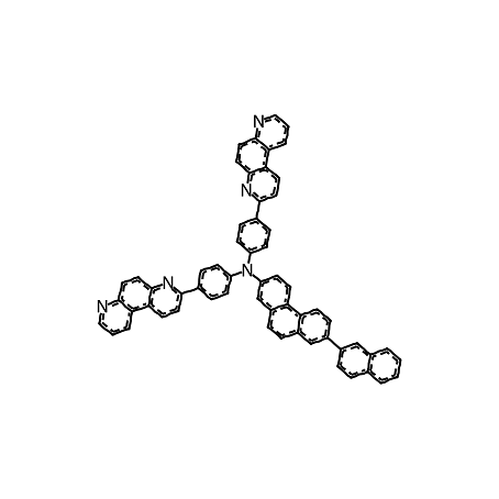 c1ccc2cc(-c3ccc4c(ccc5cc(N(c6ccc(-c7ccc8c(ccc9ncccc98)n7)cc6)c6ccc(-c7ccc8c(ccc9ncccc98)n7)cc6)ccc54)c3)ccc2c1